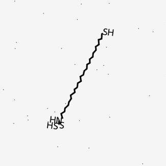 S=C(S)NCCCCCCCCCCCCCCCCCCCCCCCCCCCCS